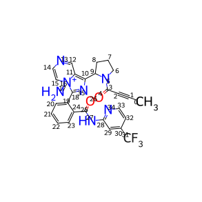 CC#CC(=O)N1CCCC1C1=C2C=NC=C[N+]2(N)C(c2ccccc2C(=O)Nc2cc(C(F)(F)F)ccn2)=N1